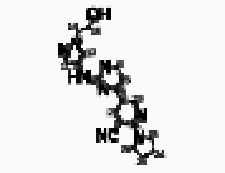 N#Cc1cc(-c2ccnc(Nc3cnn(CCO)c3)n2)cnc1N1CCCC1